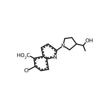 CC(O)C1CCN(c2ccc3c(C(=O)O)c(Cl)ccc3n2)C1